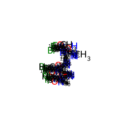 Cc1nnc(-c2ccc(-n3c(=O)c4c(n5ncc(Cc6ccc(Cn7ncnc7-c7ccc(-n8c(=O)c9c(n%10ncc(Cc%11cccc(Cn%12cnnc%12-c%12ccc(-n%13c(=O)c%14c(n%15ncc(CC%16CCC%16)c%13%15)CN(C(=O)c%13ccc(Cl)c(C(F)(F)F)c%13)C(C)C%14)cc%12)c%11)c8%10)CN(C(=O)c8ccc(Br)c(C(F)(F)F)c8)C(C)C9)cc7)cc6)c35)CN(C(=O)c3ccc(Br)c(C(F)(F)F)c3)C(C)C4)cc2)[nH]1